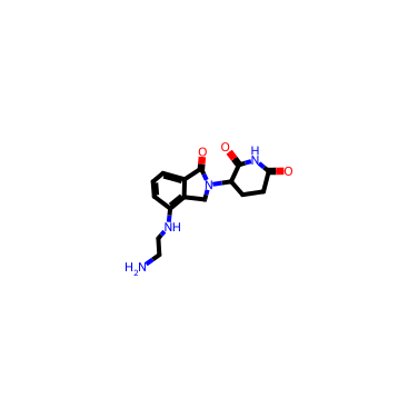 NCCNc1cccc2c1CN(C1CCC(=O)NC1=O)C2=O